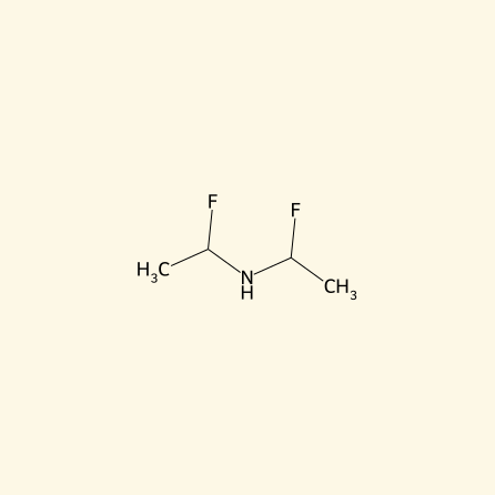 CC(F)NC(C)F